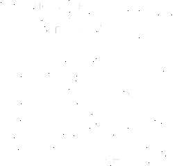 O=C(Oc1ccc(Oc2ccc(O)c(I)c2)cc1)C(F)(F)S(=O)(=O)O